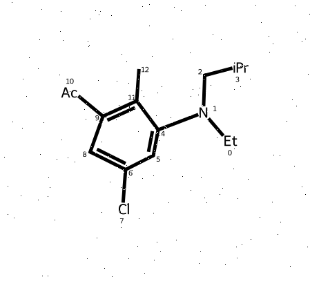 CCN(CC(C)C)c1cc(Cl)cc(C(C)=O)c1C